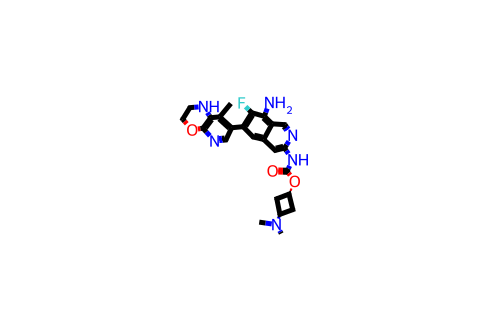 Cc1c(-c2cc3cc(NC(=O)O[C@H]4C[C@H](N(C)C)C4)ncc3c(N)c2F)cnc2c1NCCO2